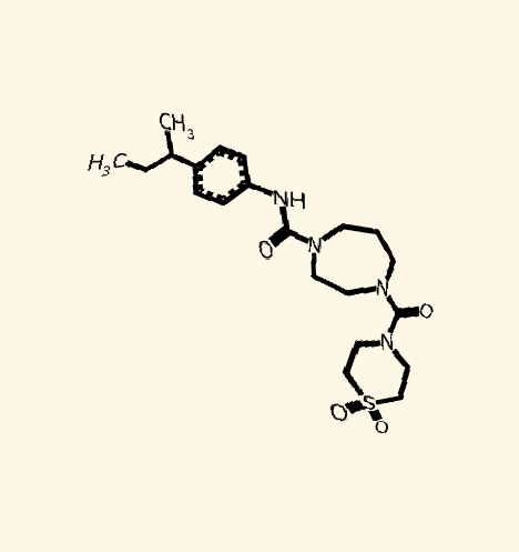 CCC(C)c1ccc(NC(=O)N2CCCN(C(=O)N3CCS(=O)(=O)CC3)CC2)cc1